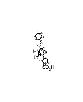 CCN(NC(=O)OCc1ccccc1)C(=O)C1CCN(C(=O)O)C1